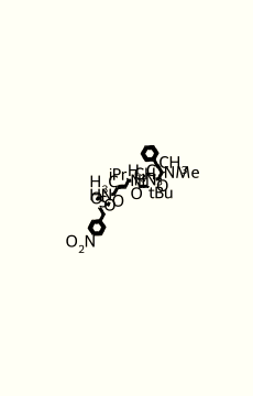 CN[C@H](C(=O)N[C@H](C(=O)N(C)[C@H](/C=C(\C)C(=O)NS(=O)(=O)CCc1ccc([N+](=O)[O-])cc1)C(C)C)C(C)(C)C)C(C)(C)c1ccccc1